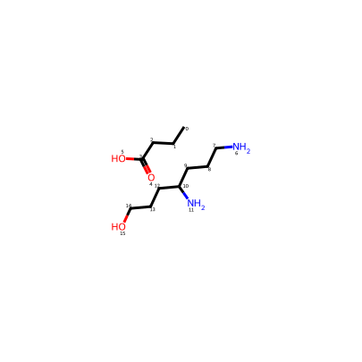 CCCC(=O)O.NCCCC(N)CCCO